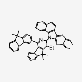 C/C=c1/cc2c3ccc4ccccc4c3n(C3N=C(c4ccc5c(c4)-c4ccccc4C5(C)C)C4=C(C3CC)C(C)(C)c3ccccc34)c2c/c1=C/C